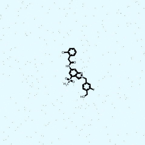 CS(=O)(=O)c1cc(NC(=O)Cc2ccccc2Cl)cc2nn(Cc3ccc(CO)c(F)c3)cc12